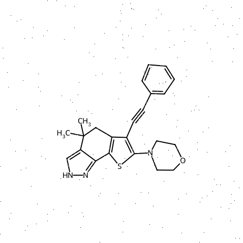 CC1(C)Cc2c(sc(N3CCOCC3)c2C#Cc2ccccc2)-c2n[nH]cc21